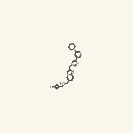 FC12CC(CNCc3ccc4nc(Cn5cc(-c6cncc(N7CCCCC7)c6)nn5)cn4c3)(C1)C2